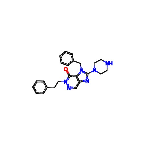 O=c1c2c(cnn1CCc1ccccc1)nc(N1CCNCC1)n2Cc1ccccc1